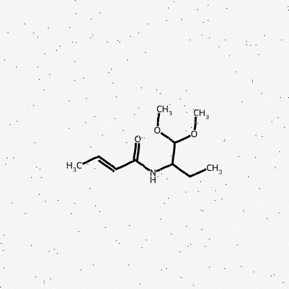 CC=CC(=O)NC(CC)C(OC)OC